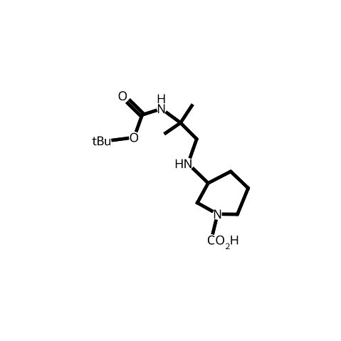 CC(C)(CNC1CCCN(C(=O)O)C1)NC(=O)OC(C)(C)C